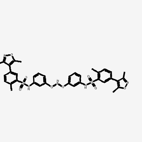 Cc1ccc(-c2c(C)noc2C)cc1S(=O)(=O)Nc1cccc(OBOc2cccc(NS(=O)(=O)c3cc(-c4c(C)noc4C)ccc3C)c2)c1